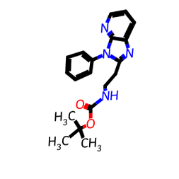 CC(C)(C)OC(=O)NCCc1nc2cccnc2n1-c1ccccc1